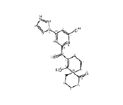 N=C(C1=C(O)[C@]2(CCCCC2=O)CCC1)c1nc(Cl)cc(-n2ccnc2)n1